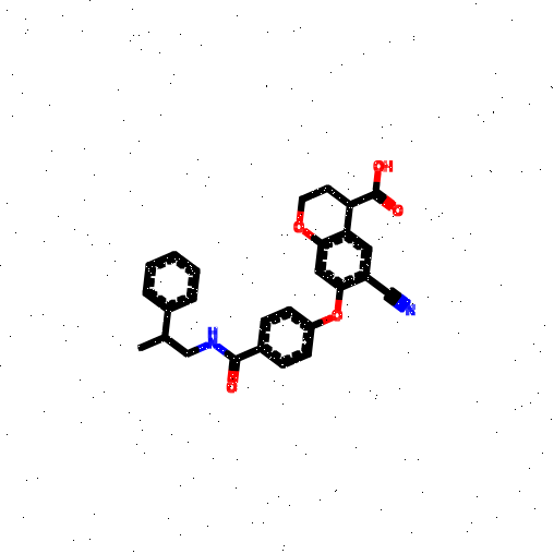 CC(CNC(=O)c1ccc(Oc2cc3c(cc2C#N)C(C(=O)O)CCO3)cc1)c1ccccc1